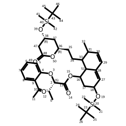 CC[C@H](Oc1ccccc1C(C)=O)C(=O)OC1CC(O[Si](C)(C)C(C)(C)C)C=C2C=CC(C)C(CC[C@@H]3C[C@@H](O[Si](C)(C)C(C)(C)C)CC(=O)O3)C21